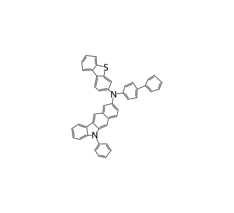 c1ccc(-c2ccc(N(c3ccc4cc5c(cc4c3)c3ccccc3n5-c3ccccc3)c3ccc4c(c3)sc3ccccc34)cc2)cc1